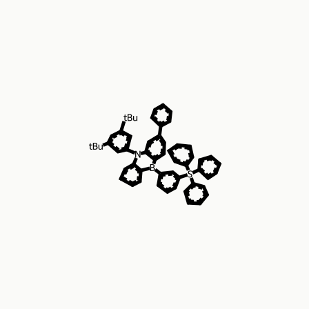 CC(C)(C)c1cc(N2c3ccccc3B(c3cccc(S(c4ccccc4)(c4ccccc4)c4ccccc4)c3)c3ccc(-c4ccccc4)cc32)cc(C(C)(C)C)c1